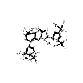 CNC1=CC(C2=C(CN3C(=O)O[C@H](c4cc(C(F)(F)F)cc(C(F)(F)F)c4)[C@@H]3C)CC(C)(C)CC2)=CCC1(OC)C(F)(F)F